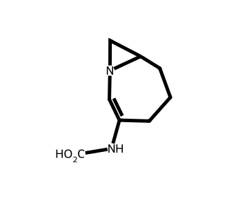 O=C(O)NC1=CN2CC2CCC1